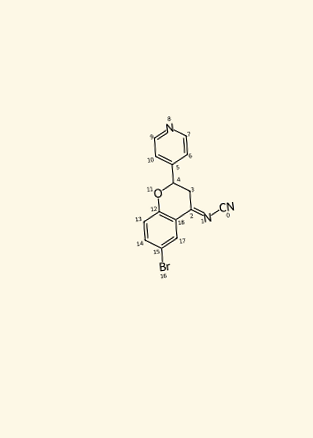 N#CN=C1CC(c2ccncc2)Oc2ccc(Br)cc21